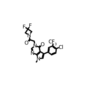 Cn1cc(-c2ccc(Cl)c(C(F)(F)F)c2)c2c(=O)n(CC(=O)N3CC(F)(F)C3)cnc21